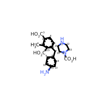 Cc1c(C(=O)O)ccc(Cc2ccc(N)cc2)c1C(=O)O.O=C(O)N1CCNCC1